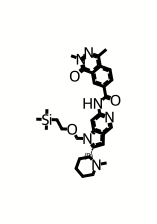 Cc1nn(C)c(=O)c2cc(C(=O)Nc3cc4c(cn3)cc([C@H]3CCCCN3C)n4COCC[Si](C)(C)C)ccc12